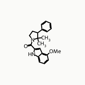 COc1cccc2[nH]c(C(=O)N3CCC(c4ccccc4)C3(C)C)cc12